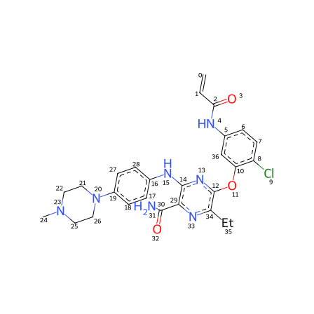 C=CC(=O)Nc1ccc(Cl)c(Oc2nc(Nc3ccc(N4CCN(C)CC4)cc3)c(C(N)=O)nc2CC)c1